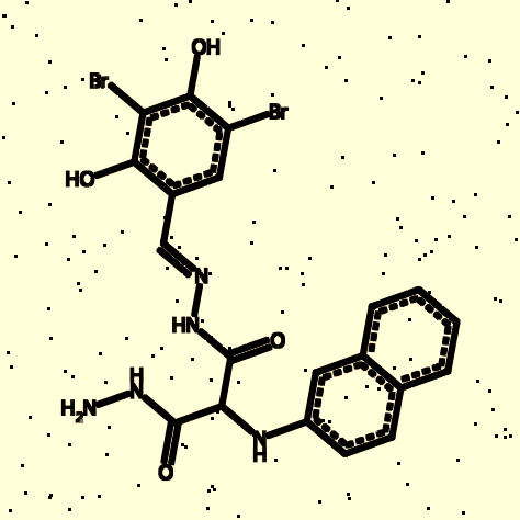 NNC(=O)C(Nc1ccc2ccccc2c1)C(=O)N/N=C/c1cc(Br)c(O)c(Br)c1O